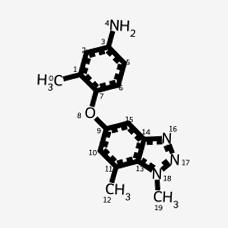 Cc1cc(N)ccc1Oc1cc(C)c2c(c1)nnn2C